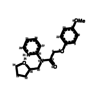 COc1ccc(OCC(=O)N(CC2CCCO2)c2ccccn2)cc1